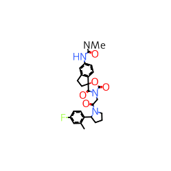 CNC(=O)Nc1ccc2c(c1)CCC21OC(=O)N(CC(=O)N2CCCC2c2ccc(F)cc2C)C1=O